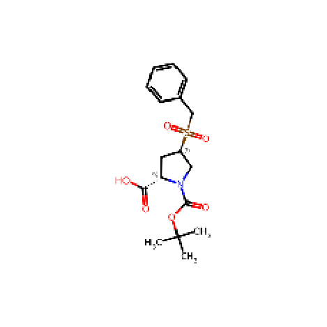 CC(C)(C)OC(=O)N1C[C@H](S(=O)(=O)Cc2ccccc2)C[C@H]1C(=O)O